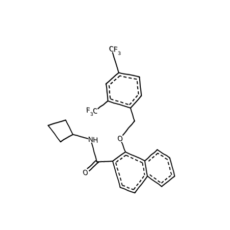 O=C(NC1CCC1)c1ccc2ccccc2c1OCc1ccc(C(F)(F)F)cc1C(F)(F)F